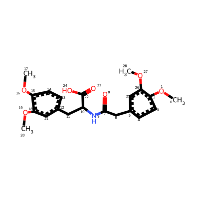 COc1ccc(CC(=O)NC(Cc2ccc(OC)c(OC)c2)C(=O)O)cc1OC